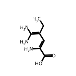 CCC(/C=C(\N)C(=O)O)=C(N)N